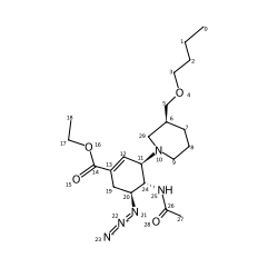 CCCCOC[C@H]1CCCN([C@@H]2C=C(C(=O)OCC)C[C@H](N=[N+]=[N-])[C@H]2NC(C)=O)C1